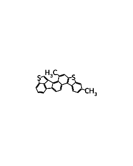 Cc1ccc2c(c1)sc1cc(C)c3c4c(ccc3c12)-c1cccc2scc-4c12